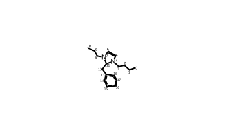 CCCCN1C=CN(CCC)C1Cc1ccccc1